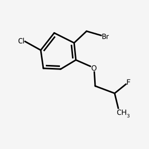 CC(F)COc1ccc(Cl)cc1CBr